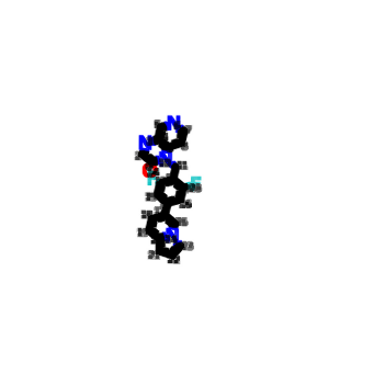 O=c1cnc2cnccc2n1Cc1c(F)cc(-c2ccc3cccn3c2)cc1F